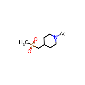 CC(=O)N1CCC(CS(C)(=O)=O)CC1